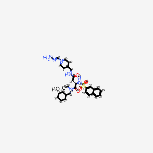 NN=CN1CCC(CNC(=O)C[C@H](NS(=O)(=O)c2ccc3ccccc3c2)C(=O)N(CC(=O)O)CC2CCCCC2)CC1